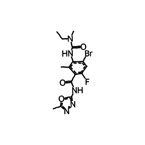 CCN(C)C(=O)Nc1c(Br)cc(F)c(C(=O)Nc2nnc(C)o2)c1C